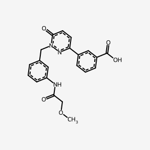 COCC(=O)Nc1cccc(Cn2nc(-c3cccc(C(=O)O)c3)ccc2=O)c1